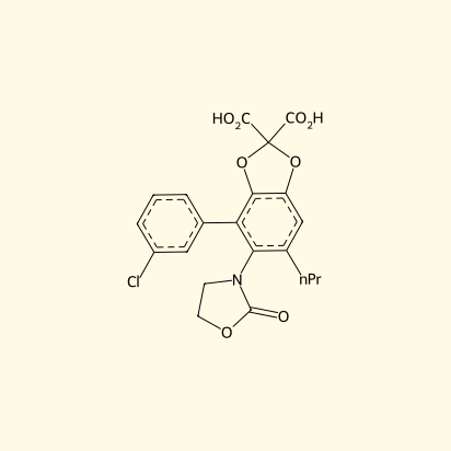 CCCc1cc2c(c(-c3cccc(Cl)c3)c1N1CCOC1=O)OC(C(=O)O)(C(=O)O)O2